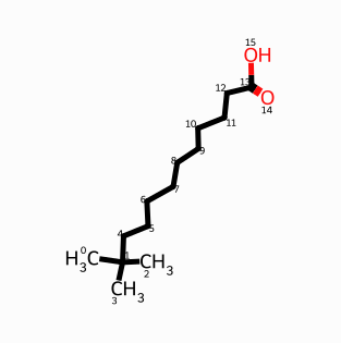 CC(C)(C)CCCCCCCCCC(=O)O